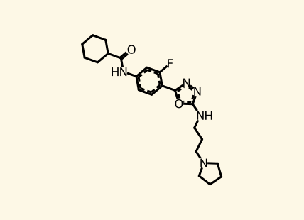 O=C(Nc1ccc(-c2nnc(NCCCN3CCCC3)o2)c(F)c1)C1CCCCC1